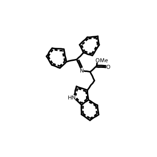 COC(=O)C(Cc1c[nH]c2ccccc12)N=C(c1ccccc1)c1ccccc1